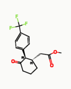 COC(=O)C[C@@H]1CCCC(=O)[C@H]1c1ccc(C(F)(F)F)cc1